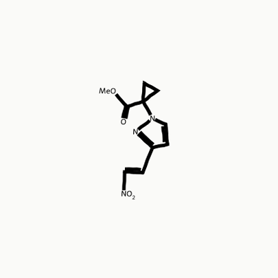 COC(=O)C1(n2ccc(/C=C/[N+](=O)[O-])n2)CC1